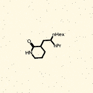 CCCCCCC(CCC)CC1CCCNC1=O